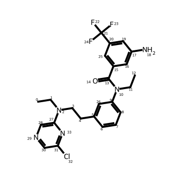 CCN(CCc1cccc(N(CC)C(=O)c2cc(N)cc(C(F)(F)F)c2)c1)c1cncc(Cl)n1